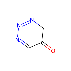 O=C1C=NN=NC1